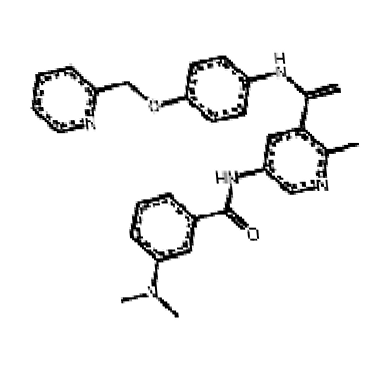 C=C(Nc1ccc(OCc2ccccn2)cc1)c1cc(NC(=O)c2cccc(N(C)C)c2)cnc1C